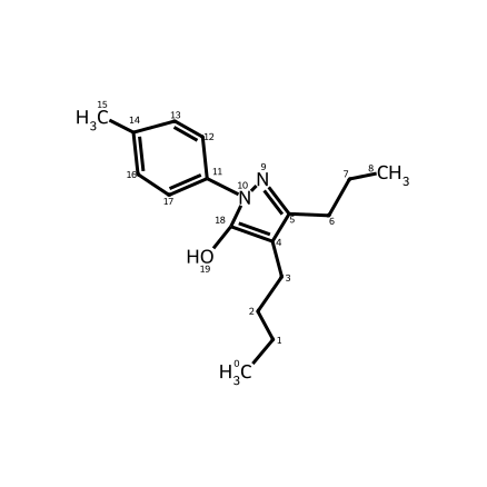 CCCCc1c(CCC)nn(-c2ccc(C)cc2)c1O